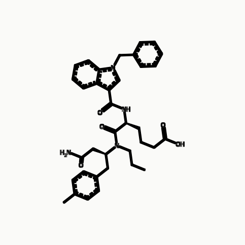 CCCN(C(=O)[C@H](CCCC(=O)O)NC(=O)c1cn(Cc2ccccc2)c2ccccc12)[C@H](CC(N)=O)Cc1ccc(C)cc1